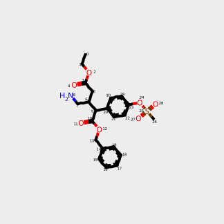 CCOC(=O)CC(CN)C(C(=O)OCc1ccccc1)c1ccc(OS(C)(=O)=O)cc1